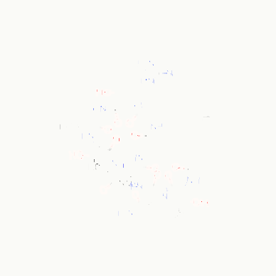 CCCCCCCCCCCCCCCC(=O)N[C@H](C(=O)N[C@@H](CC(N)=O)C(=O)N[C@@H](C)C(=O)NCC(=O)N[C@@H](CCCNC(=N)N)C(=O)N[C@@H](CO)C(=O)N[C@@H](CC(=O)O)C(=O)N[C@H](C(=O)N[C@@H](C)C(=O)NC)[C@@H](C)O)[C@@H](C)O